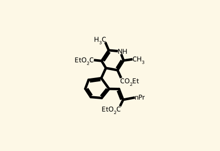 CCCC(=Cc1ccccc1C1C(C(=O)OCC)=C(C)NC(C)=C1C(=O)OCC)C(=O)OCC